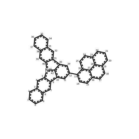 c1ccc2cc3c(cc2c1)c1cc(-c2ccc4ccc5cccc6ccc2c4c56)cc2c4cc5ccccc5cc4n3c12